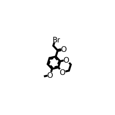 COc1ccc(C(=O)CBr)c2c1OCCO2